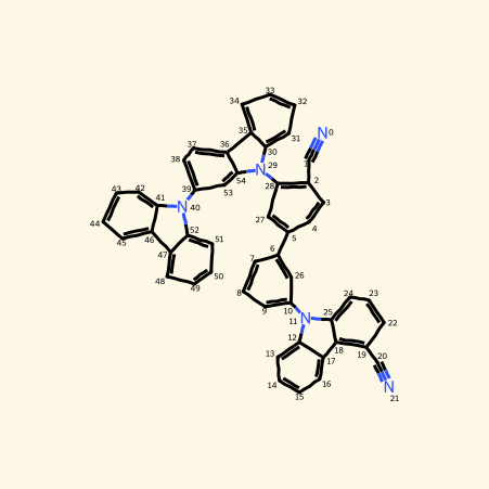 N#Cc1ccc(-c2cccc(-n3c4ccccc4c4c(C#N)cccc43)c2)cc1-n1c2ccccc2c2ccc(-n3c4ccccc4c4ccccc43)cc21